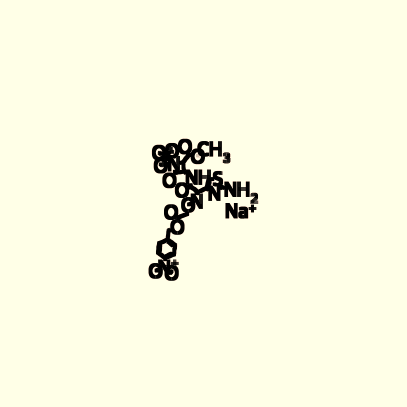 COC(=O)C1C(NC(=O)C(=NOCC(=O)OCc2ccc([N+](=O)[O-])cc2)c2csc(N)n2)C(=O)N1S(=O)(=O)[O-].[Na+]